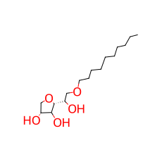 CCCCCCCCCCOCC(O)[C@H]1OC[C@@H](O)C1O